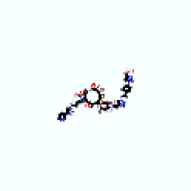 CO[C@]1(C)C[C@@H](C)C(=O)[C@H](C)[C@@H]2N(CCCCn3cnc(-c4cccnc4)c3)C(=O)O[C@]2(C)[C@@H](I)OC(=O)[C@H](C)C(=O)[C@H](C)[C@H]1O[C@@H]1O[C@H](C)C[C@H](N(C)CCc2cn(CCc3ccc(-n4cc(CO)nn4)cc3)nn2)[C@H]1O